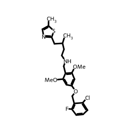 COc1cc(OCc2c(F)cccc2Cl)cc(OC)c1CNCCC(C)Cc1ncc(C)s1